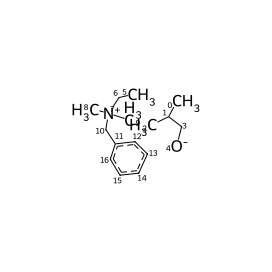 CC(C)C[O-].CC[N+](C)(C)Cc1ccccc1